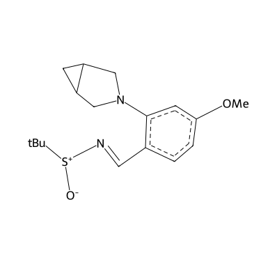 COc1ccc(C=N[S+]([O-])C(C)(C)C)c(N2CC3CC3C2)c1